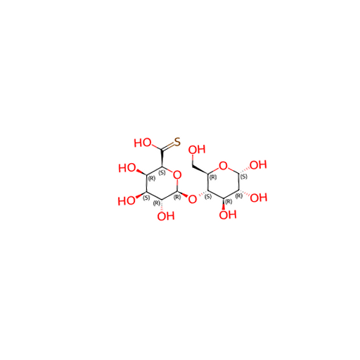 OC[C@H]1O[C@H](O)[C@H](O)[C@@H](O)[C@@H]1O[C@@H]1O[C@H](C(O)=S)[C@H](O)[C@H](O)[C@H]1O